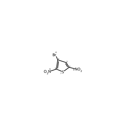 O=[N+]([O-])c1cc(Br)c([N+](=O)[O-])s1